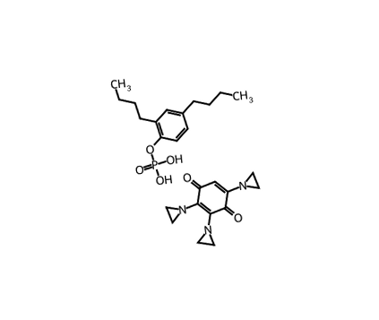 CCCCc1ccc(OP(=O)(O)O)c(CCCC)c1.O=C1C=C(N2CC2)C(=O)C(N2CC2)=C1N1CC1